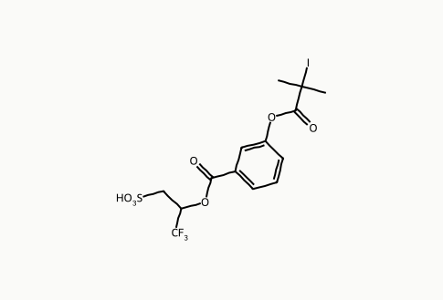 CC(C)(I)C(=O)Oc1cccc(C(=O)OC(CS(=O)(=O)O)C(F)(F)F)c1